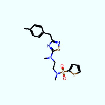 Cc1ccc(Cc2nsc(N(C)CCN(C)S(=O)(=O)c3cccs3)n2)cc1